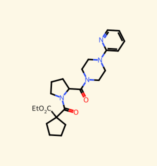 CCOC(=O)C1(C(=O)N2CCCC2C(=O)N2CCN(c3ccccn3)CC2)CCCC1